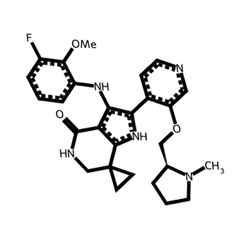 COc1c(F)cccc1Nc1c(-c2ccncc2OC[C@@H]2CCCN2C)[nH]c2c1C(=O)NCC21CC1